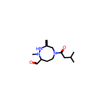 C=C1CN(C(=O)CC(C)C)CCC(C=O)N(C)N1